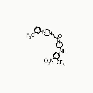 O=C(CCN1CCN(c2cccc(C(F)(F)F)c2)CC1)N1CCC(Nc2ccc([N+](=O)[O-])c(C(F)(F)F)c2)CC1